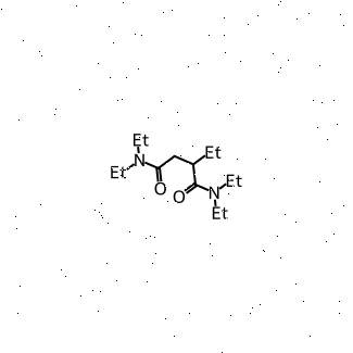 CCC(CC(=O)N(CC)CC)C(=O)N(CC)CC